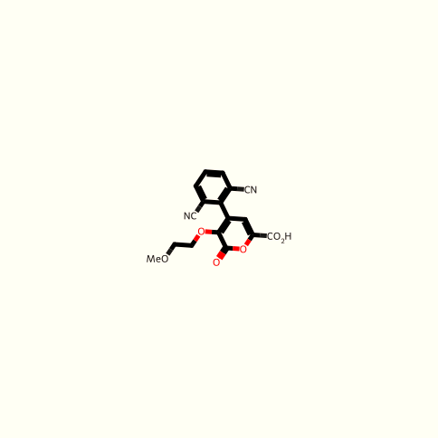 COCCOc1c(-c2c(C#N)cccc2C#N)cc(C(=O)O)oc1=O